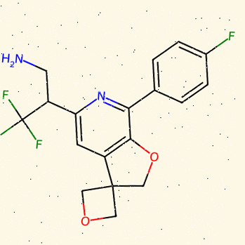 NCC(c1cc2c(c(-c3ccc(F)cc3)n1)OCC21COC1)C(F)(F)F